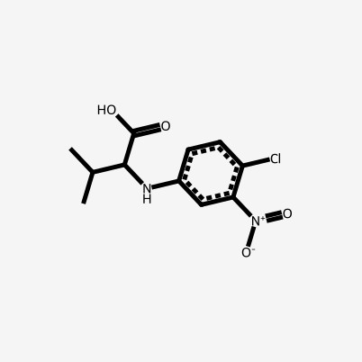 CC(C)C(Nc1ccc(Cl)c([N+](=O)[O-])c1)C(=O)O